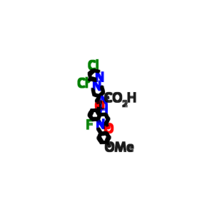 COc1ccc(CN2C(=O)CCc3c(OCC4(NC(=O)O)CCN(c5ncc(Cl)cc5Cl)CC4)ccc(F)c32)cc1